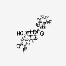 O=C(Nc1scc(-c2ccc(Cl)c(F)c2)c1C(=O)O)c1nc2c(F)cccc2o1